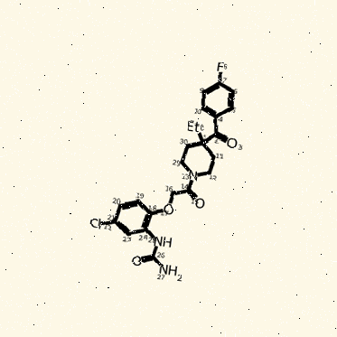 CCC1(C(=O)c2ccc(F)cc2)CCN(C(=O)COc2ccc(Cl)cc2NC(N)=O)CC1